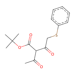 CC(=O)C(C(=O)CSc1ccccc1)C(=O)OC(C)(C)C